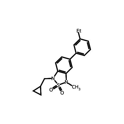 CCc1cccc(-c2ccc3c(c2)N(C)S(=O)(=O)N3CC2CC2)c1